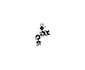 Cc1nc2nc([C@@H]3CCO[C@@H](c4cnn(C)c4)C3)nc([C@H]3C[C@@H](C(F)(F)F)C3)c2nc1C